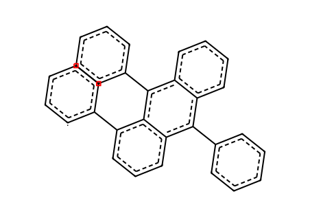 [c]1ccccc1-c1cccc2c(-c3ccccc3)c3ccccc3c(-c3ccccc3)c12